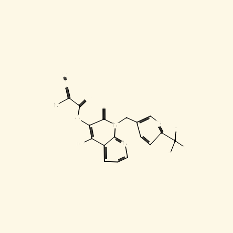 NC(=C=O)C(=O)Oc1c(O)c2cccnc2n(Cc2ccc(C(F)(F)F)nc2)c1=O